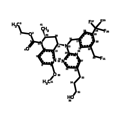 CCOC(=O)N1c2ccc(OC)nc2[C@@H](N(Cc2cc(CF)cc(C(F)(F)F)c2)c2ncc(CCCO)cn2)C[C@H]1C